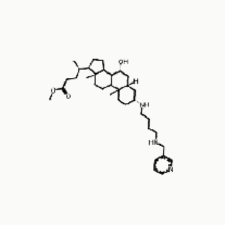 COC(=O)CC[C@@H](C)[C@H]1CCC2C3C(CC[C@@]21C)[C@@]1(C)CC[C@@H](NCCCCNCc2cccnc2)C[C@H]1C[C@H]3O